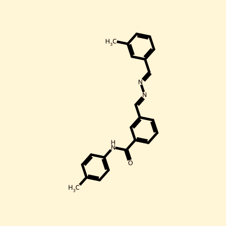 Cc1ccc(NC(=O)c2cccc(C=NN=Cc3cccc(C)c3)c2)cc1